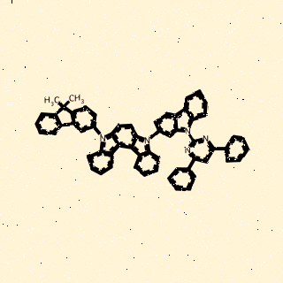 CC1(C)c2ccccc2-c2cc(-n3c4ccccc4c4c5c6ccccc6n(-c6ccc7c8ccccc8n(-c8nc(-c9ccccc9)cc(-c9ccccc9)n8)c7c6)c5ccc43)ccc21